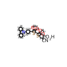 N#C/C(=C/c1sc(-c2sc(-c3ccc(-n4c5ccccc5c5ccccc54)cc3)c3c2OCCO3)c2c1OCCO2)C(=O)O